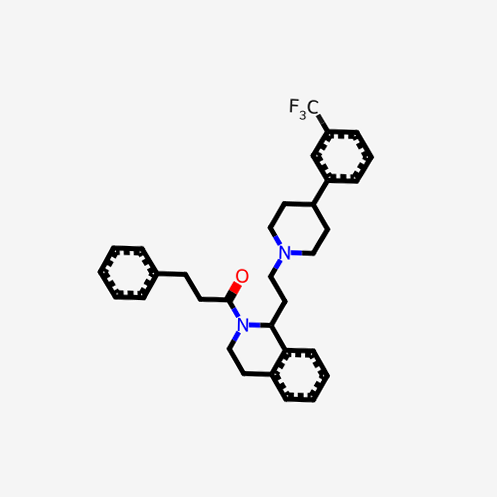 O=C(CCc1ccccc1)N1CCc2ccccc2C1CCN1CCC(c2cccc(C(F)(F)F)c2)CC1